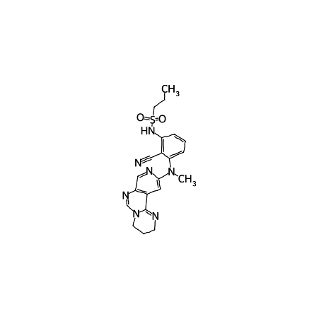 CCCS(=O)(=O)Nc1cccc(N(C)c2cc3c(cn2)N=CN2CCCN=C32)c1C#N